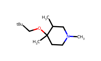 CC1CN(C)CCC1(C)OCC(C)(C)C